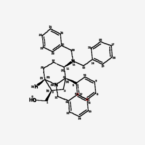 OC[C@@H]1C[C@@]2(c3ccccc3)[C@H](N(Cc3ccccc3)Cc3ccccc3)CC[C@@H]1N2Cc1ccccc1